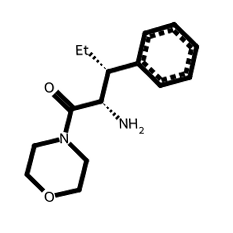 CC[C@H](c1ccccc1)[C@H](N)C(=O)N1CCOCC1